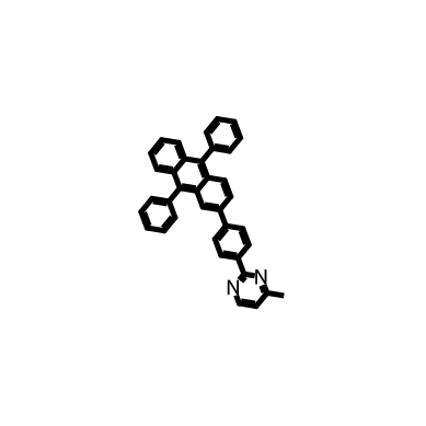 Cc1ccnc(-c2ccc(-c3ccc4c(-c5ccccc5)c5ccccc5c(-c5ccccc5)c4c3)cc2)n1